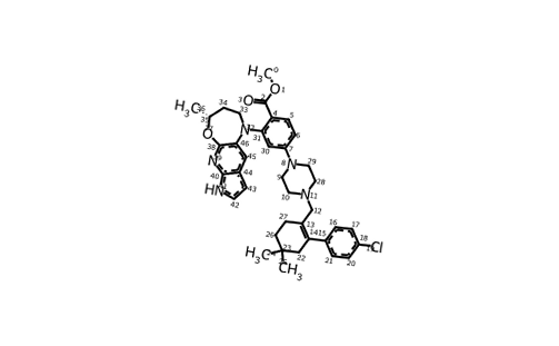 COC(=O)c1ccc(N2CCN(CC3=C(c4ccc(Cl)cc4)CC(C)(C)CC3)CC2)cc1N1CC[C@@H](C)Oc2nc3[nH]ccc3cc21